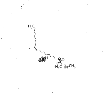 [CH2]C(CNC)S(=O)(=O)OCCCCCCCC/C=C\CCCCCCCC.[NaH].[NaH].[NaH]